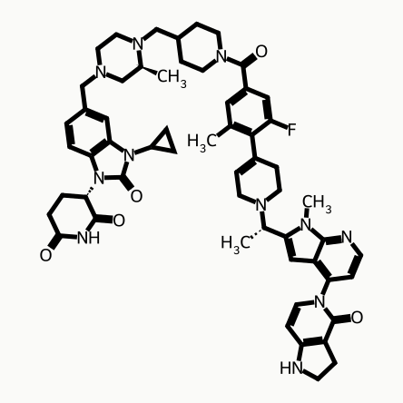 Cc1cc(C(=O)N2CCC(CN3CCN(Cc4ccc5c(c4)n(C4CC4)c(=O)n5[C@H]4CCC(=O)NC4=O)C[C@@H]3C)CC2)cc(F)c1C1=CCN([C@@H](C)c2cc3c(-n4ccc5c(c4=O)CCN5)ccnc3n2C)CC1